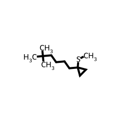 CSC1(CCCCC(C)(C)C)CC1